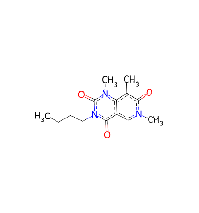 CCCCn1c(=O)c2cn(C)c(=O)c(C)c2n(C)c1=O